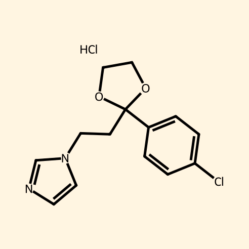 Cl.Clc1ccc(C2(CCn3ccnc3)OCCO2)cc1